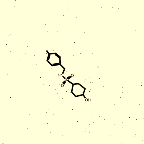 Cc1ccc(CNS(=O)(=O)C2CCC(O)CC2)cc1